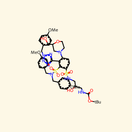 COc1ccc(CN(Cc2ccc(OC)cc2)S(=O)(=O)c2c(S(=O)(=O)NC[C@H](O)CNC(=O)OC(C)(C)C)ccc(N3CCOC(CO)C3)c2-c2nnn(Cc3ccc(OC)cc3)n2)cc1